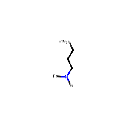 CCOC(=O)CCCN(CC)CC